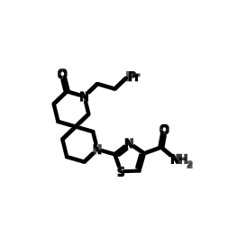 CC(C)CCN1CC2(CCCN(c3nc(C(N)=O)cs3)C2)CCC1=O